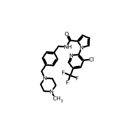 CN1CCN(Cc2ccc(CNC(=O)c3cccn3-c3ncc(C(F)(F)F)cc3Cl)cc2)CC1